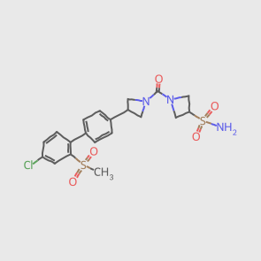 CS(=O)(=O)c1cc(Cl)ccc1-c1ccc(C2CN(C(=O)N3CC(S(N)(=O)=O)C3)C2)cc1